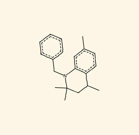 Cc1ccc2c(c1)N(Cc1ccccc1)C(C)(C)CC2C